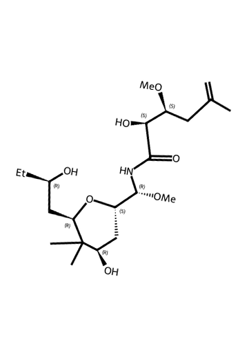 C=C(C)C[C@H](OC)[C@H](O)C(=O)N[C@H](OC)[C@@H]1C[C@@H](O)C(C)(C)[C@@H](C[C@H](O)CC)O1